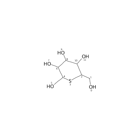 OCC1SC(O)C(O)C(O)C1O